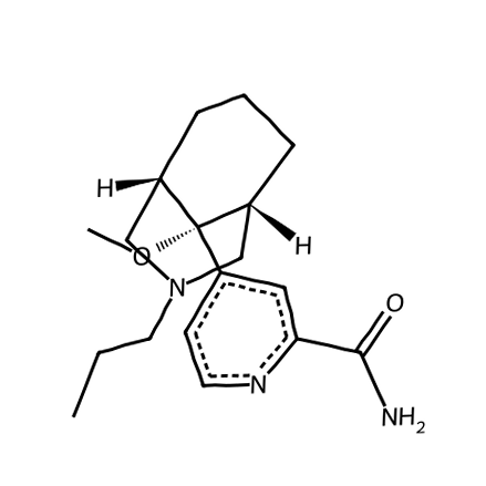 CCCN1C[C@H]2CCC[C@@H](C1)[C@]2(OC)c1ccnc(C(N)=O)c1